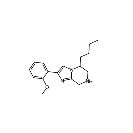 CCCCC1CNCc2nc(-c3ccccc3OC)cn21